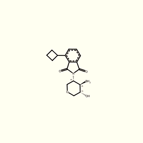 B[C@H]1[C@H](O)COC[C@@H]1N1C(=O)c2cccc(C3CCC3)c2C1=O